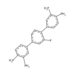 Fc1cc(-c2ccc(P)c(P)c2)ccc1-c1ccc(P)c(P)c1